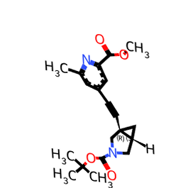 COC(=O)c1cc(C#C[C@@]23C[C@@H]2CN(C(=O)OC(C)(C)C)C3)cc(C)n1